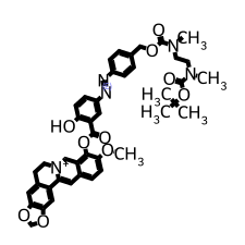 COc1ccc2cc3[n+](cc2c1OC(=O)c1cc(/N=N/c2ccc(COC(=O)N(C)CCN(C)C(=O)OC(C)(C)C)cc2)ccc1O)CCc1cc2c(cc1-3)OCO2